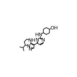 CC(C)C1CCNc2c(-c3ccnc(NC4CCC(O)CC4)n3)cnn21